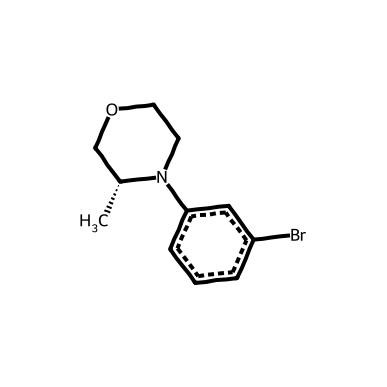 C[C@@H]1COCCN1c1cccc(Br)c1